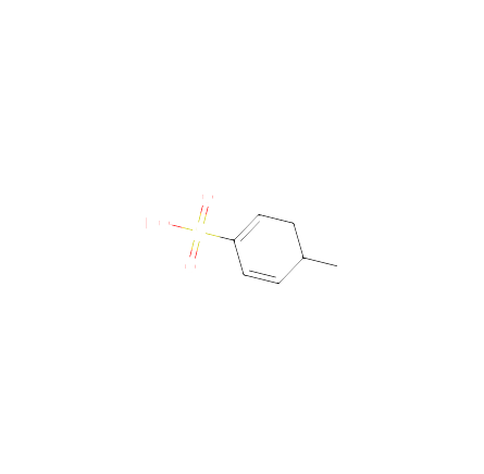 CC1C=CC(S(=O)(=O)O)=CC1